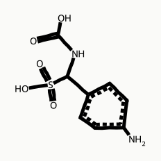 Nc1ccc(C(NC(=O)O)S(=O)(=O)O)cc1